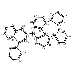 c1ccc(-c2nc(-n3c4cccc5c6ccccc6c6ccccc6c6cccc3c6c54)nc3ccccc23)cc1